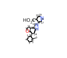 Cc1ccccc1C1=C2OCCC2[C@@H](CNc2cnccc2C(=O)O)C=C1